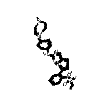 CCS(=O)(=O)Nc1ccccc1-c1ccc2cnc(Nc3ccc(N4CCN(C)CC4)cc3)nn12